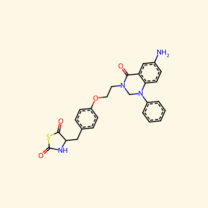 Nc1ccc2c(c1)C(=O)N(CCOc1ccc(CC3NC(=O)SC3=O)cc1)CN2c1ccccc1